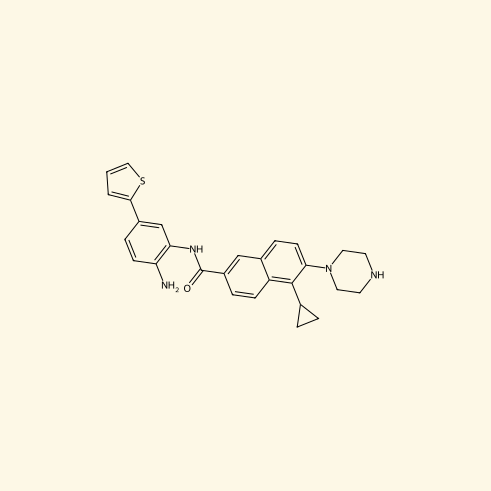 Nc1ccc(-c2cccs2)cc1NC(=O)c1ccc2c(C3CC3)c(N3CCNCC3)ccc2c1